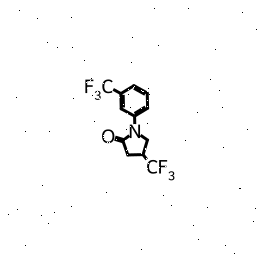 O=C1CC(C(F)(F)F)CN1c1cccc(C(F)(F)F)c1